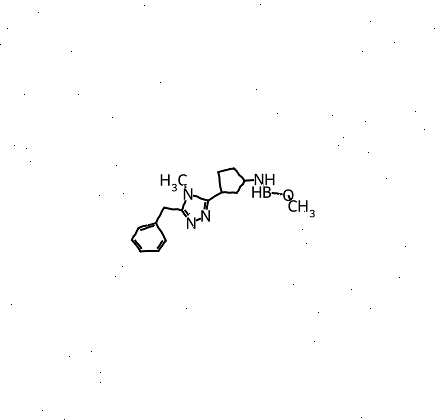 COBNC1CCC(c2nnc(Cc3ccccc3)n2C)C1